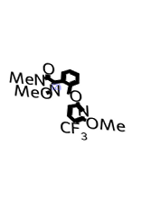 CNC(=O)/C(=N\OC)c1ccccc1COc1ccc(C(F)(F)F)c(OC)n1